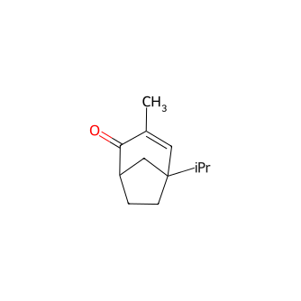 CC1=CC2(C(C)C)CCC(C2)C1=O